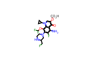 Nc1c(F)c(N2CCNC(CF)C2)c(OC(F)F)c2c1c(=O)c(OC(=O)O)cn2C1CC1